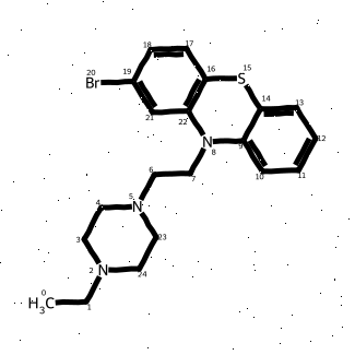 CCN1CCN(CCN2c3ccccc3Sc3ccc(Br)cc32)CC1